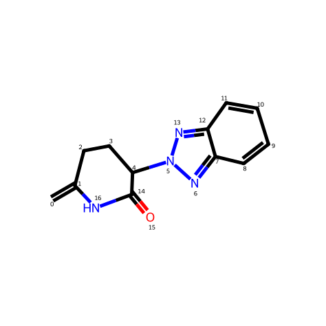 C=C1CCC(n2nc3ccccc3n2)C(=O)N1